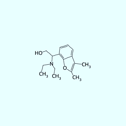 CCN(CC)C(CO)c1cccc2c(C)c(C)oc12